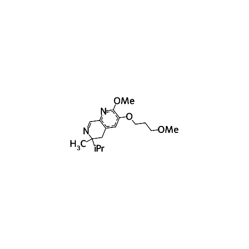 COCCCOc1cc2c(nc1OC)C=NC(C)(C(C)C)C2